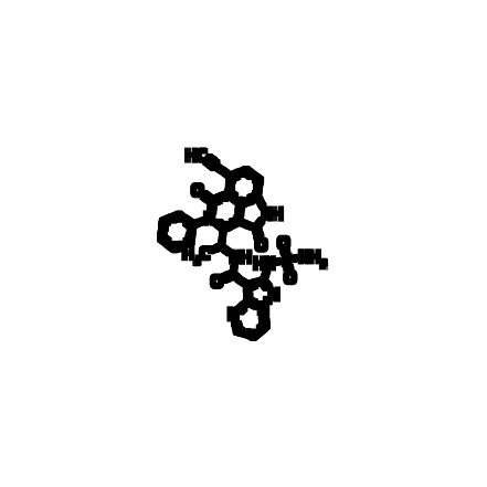 C#Cc1ccc2c3c(c(C(C)NC(=O)c4c(NS(N)(=O)=O)nn5cccnc45)n(-c4ccccc4)c(=O)c13)C(=O)N2